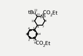 CCOC(=O)c1cccc(C2CCN(C(=O)OCC)C(C(C)(C)C)C2)c1